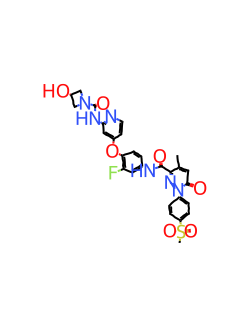 Cc1cc(=O)n(-c2ccc(S(C)(=O)=O)cc2)nc1C(=O)Nc1ccc(Oc2ccnc(NC(=O)N3CC(O)C3)c2)c(F)c1